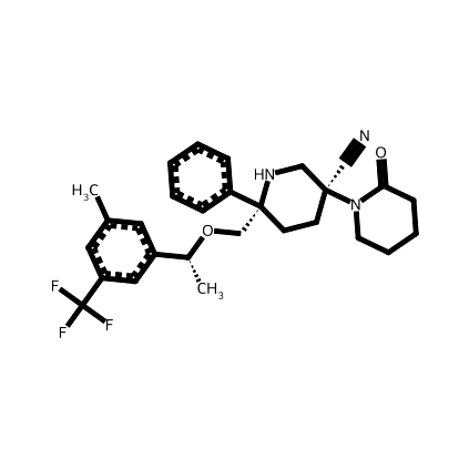 Cc1cc([C@@H](C)OC[C@@]2(c3ccccc3)CC[C@](C#N)(N3CCCCC3=O)CN2)cc(C(F)(F)F)c1